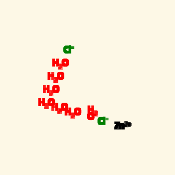 O.O.O.O.O.O.O.[Cl-].[Cl-].[Zn+2]